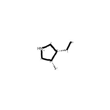 CC[C@H]1CNC[C@H]1C